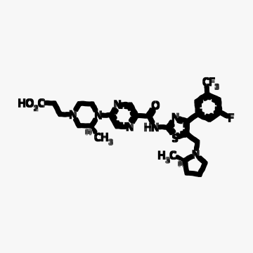 C[C@@H]1CCCN1Cc1sc(NC(=O)c2cnc(N3CCN(CCC(=O)O)C[C@@H]3C)cn2)nc1-c1cc(F)cc(C(F)(F)F)c1